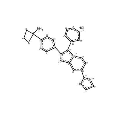 Cl.NC1(c2ccc(-c3nc4cc(-c5ncc[nH]5)ccn4c3-c3ccccc3)cc2)CCC1